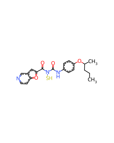 CCCC(C)Oc1ccc(NC(=O)N(S)C(=O)c2cc3cnccc3o2)cc1